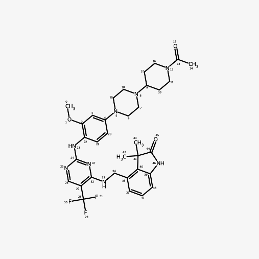 COc1cc(N2CCN(C3CCN(C(C)=O)CC3)CC2)ccc1Nc1ncc(C(F)(F)F)c(NCc2cccc3c2C(C)(C)C(=O)N3)n1